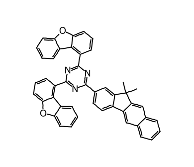 CC1(C)c2cc(-c3nc(-c4cccc5oc6ccccc6c45)nc(-c4cccc5oc6ccccc6c45)n3)ccc2-c2cc3ccccc3cc21